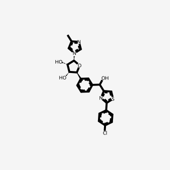 Cc1cn([C@@H]2O[C@@H](c3cccc(C(O)c4csc(-c5ccc(Cl)cc5)n4)c3)[C@H](O)[C@@H]2O)cn1